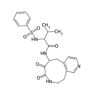 CC(C)C(NS(=O)(=O)c1ccccc1)C(=O)NC1Cc2ccncc2CCNC(=O)C1=O